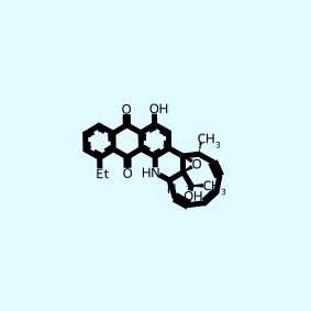 CCc1cccc2c1C(=O)c1c3c(cc(O)c1C2=O)[C@@]12O[C@@]1([C@@H](C)O)[C@H](C#C/C=C\C#C[C@H]2C)N3